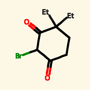 CCC1(CC)CCC(=O)C(Br)C1=O